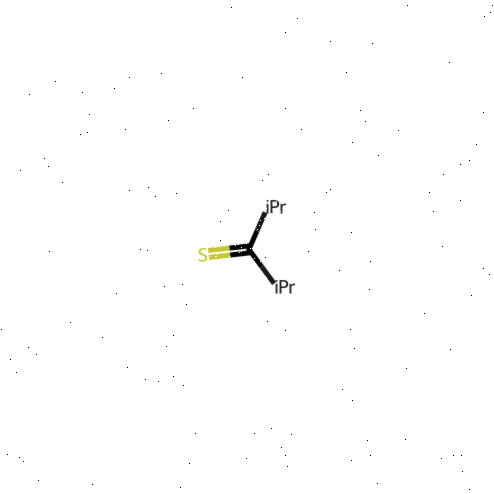 CC(C)C(=S)C(C)C